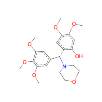 COc1cc(O)c([C@@H](c2cc(OC)c(OC)c(OC)c2)N2CCOCC2)cc1OC